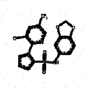 O=S(=O)(Nc1ccc2c(c1)OCO2)c1cccn1-c1ncc(C(F)(F)F)cc1Cl